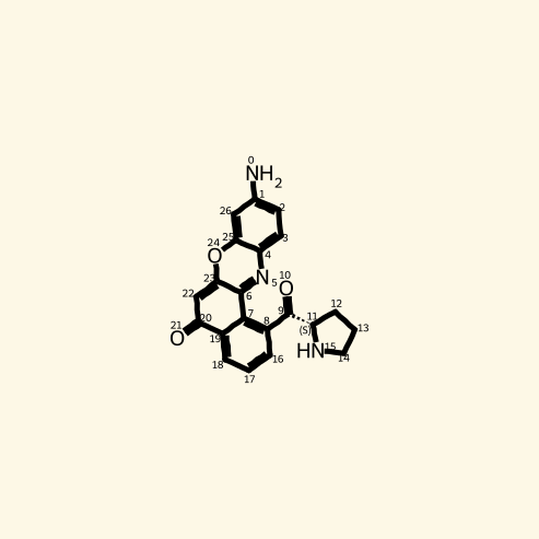 Nc1ccc2nc3c4c(C(=O)[C@@H]5CCCN5)cccc4c(=O)cc-3oc2c1